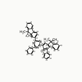 CC1(C)c2ccccc2-c2ccc(-c3nc(-c4ccccc4)nc(-c4cc5c(c6c4oc4ccccc46)-c4ccccc4C5(C)C)n3)cc21